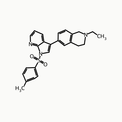 CCN1CCc2cc(-c3cn(S(=O)(=O)c4ccc(C)cc4)c4ncccc34)ccc2C1